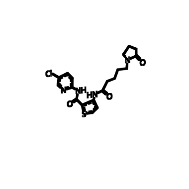 O=C(CCCCN1CCCC1=O)Nc1ccsc1C(=O)Nc1ccc(Cl)cn1